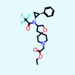 CCOC(=O)CN1CCC2(CC1)CC(N(C(=O)C(F)(F)F)[C@@H]1C[C@H]1c1ccccc1)CO2